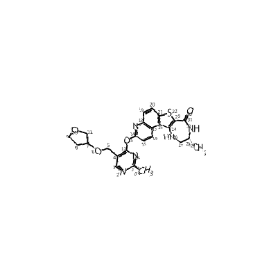 Cc1ncc(COC2CCOC2)c(Oc2ccc3c(ccc4sc5c(c43)NC[C@@H](C)NC5=O)n2)n1